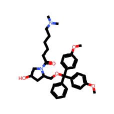 COc1ccc(C(OCC2CC(O)CN2C(=O)CCCCCN(C)C)(c2ccccc2)c2ccc(OC)cc2)cc1